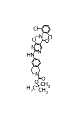 CC(C)(C)OC(=O)N1CCc2cc(Nc3ncc4c(n3)OCN(c3c(Cl)cccc3Cl)C4=O)ccc2C1